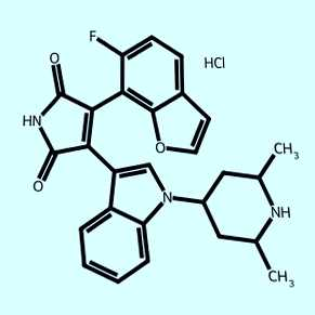 CC1CC(n2cc(C3=C(c4c(F)ccc5ccoc45)C(=O)NC3=O)c3ccccc32)CC(C)N1.Cl